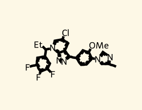 CCC(c1cc(F)c(F)c(F)c1)n1cc(Cl)cc2c(-c3ccc(-n4cnc(C)c4)c(OC)c3)nnc1-2